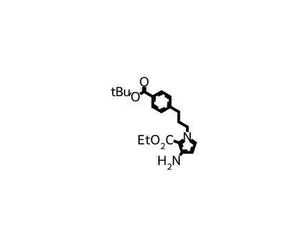 CCOC(=O)c1c(N)ccn1CCCc1ccc(C(=O)OC(C)(C)C)cc1